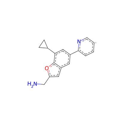 NCc1cc2cc(-c3cc[c]cn3)cc(C3CC3)c2o1